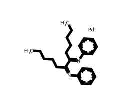 CCCCCC(=Nc1ccccc1)C(CCCCC)=Nc1ccccc1.[Pd]